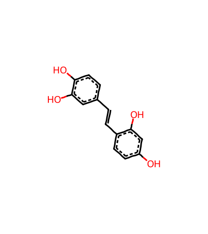 Oc1ccc(/C=C/c2ccc(O)c(O)c2)c(O)c1